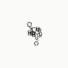 CN(C)[C@@H]1c2onc(OCc3ccccc3)c2C(=O)[C@@]2(O)[C@H](O[Si](C)(C)C(C)(C)C)[C@H](Sc3ccccc3)C=C[C@@H]12